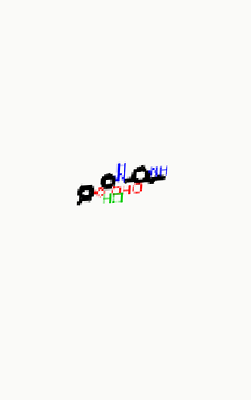 Cc1cccc(OC2CCC(NCC3CCc4[nH]c(C)cc4C3=O)C2O)c1.Cl